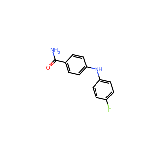 NC(=O)c1ccc(Nc2ccc(F)cc2)cc1